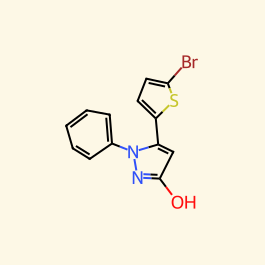 Oc1cc(-c2ccc(Br)s2)n(-c2ccccc2)n1